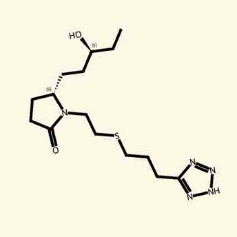 CC[C@H](O)CC[C@H]1CCC(=O)N1CCSCCCc1nn[nH]n1